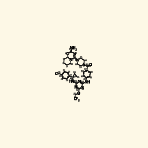 NC(=O)/N=C(\N1CCCCC1)N1CCN(C(=O)c2ccc(Nc3nc(NC4(c5ccc(Cl)cc5)CC4)nc(OCC(F)(F)F)n3)cc2)CC1